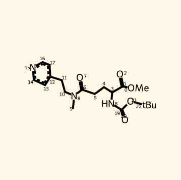 COC(=O)C(CCC(=O)N(C)CCc1ccncc1)NC(=O)OC(C)(C)C